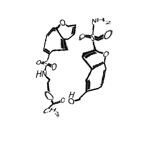 CC(=O)OCNS(=O)(=O)c1ccc2occc2c1.NS(=O)(=O)c1cc2cc(CO)ccc2o1